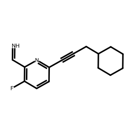 N=Cc1nc(C#CCC2CCCCC2)ccc1F